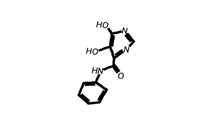 O=C(Nc1ccccc1)c1ncnc(O)c1O